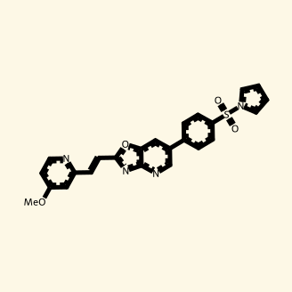 COc1ccnc(/C=C/c2nc3ncc(-c4ccc(S(=O)(=O)n5cccc5)cc4)cc3o2)c1